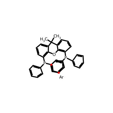 CC1(C)c2cccc(P(c3ccccc3)c3ccccc3)c2Oc2c(P(c3ccccc3)c3ccccc3)cccc21.[Ar]